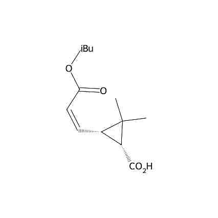 CCC(C)OC(=O)/C=C\[C@H]1[C@@H](C(=O)O)C1(C)C